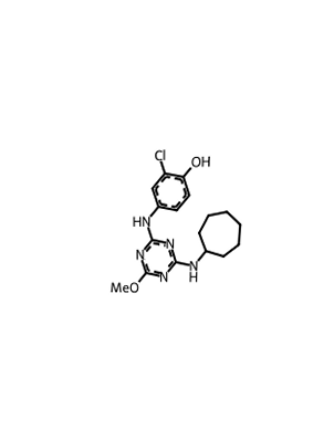 COc1nc(Nc2ccc(O)c(Cl)c2)nc(NC2CCCCCC2)n1